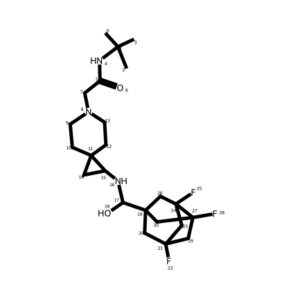 CC(C)(C)NC(=O)CN1CCC2(CC1)CC2NC(O)C12CC3(F)CC(F)(C1)C(F)(C3)C2